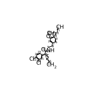 C#CCOc1ccc(CCNC(=O)C(SCC=C)c2ccc(Cl)c(Cl)c2)cc1OC